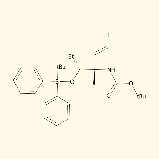 C/C=C/[C@](C)(NC(=O)OC(C)(C)C)[C@@H](CC)O[Si](c1ccccc1)(c1ccccc1)C(C)(C)C